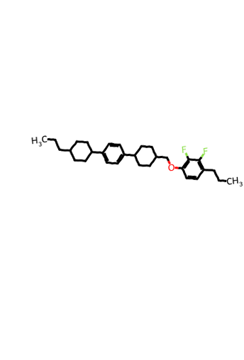 CCCc1ccc(OCC2CCC(c3ccc(C4CCC(CCC)CC4)cc3)CC2)c(F)c1F